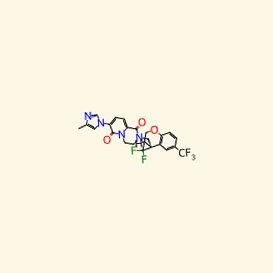 Cc1cn(-c2ccc3n(c2=O)CCN(C[C@]24c5cc(C(F)(F)F)ccc5OC[C@H]2C4(F)F)C3=O)cn1